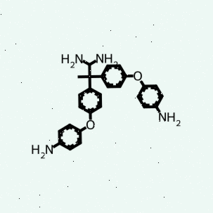 CC(c1ccc(Oc2ccc(N)cc2)cc1)(c1ccc(Oc2ccc(N)cc2)cc1)C(N)N